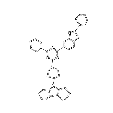 c1ccc(-c2nc(-c3ccc(-n4c5ccccc5c5ccccc54)cc3)nc(-c3ccc4sc(-c5ccccc5)nc4c3)n2)cc1